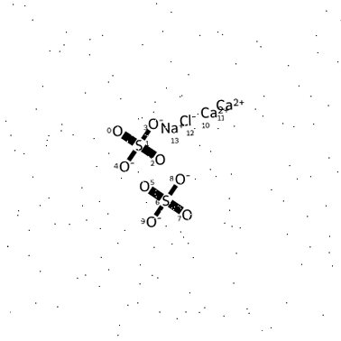 O=S(=O)([O-])[O-].O=S(=O)([O-])[O-].[Ca+2].[Ca+2].[Cl-].[Na+]